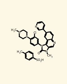 CN1CCN(c2ccc(-n3c(=O)n(C)c4cnc5ccc(-c6cccnc6)cc5c43)cc2Cl)CC1.Cc1ccc(S(=O)(=O)O)cc1